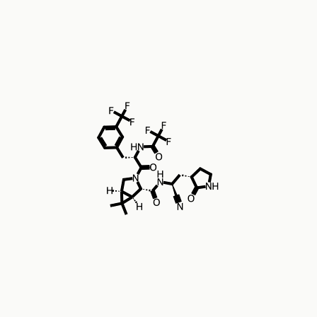 CC1(C)[C@@H]2[C@@H](C(=O)N[C@H](C#N)C[C@@H]3CCNC3=O)N(C(=O)[C@H](Cc3cccc(C(F)(F)F)c3)NC(=O)C(F)(F)F)C[C@@H]21